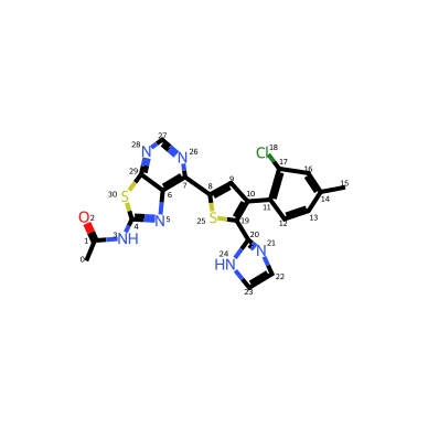 CC(=O)Nc1nc2c(-c3cc(-c4ccc(C)cc4Cl)c(-c4ncc[nH]4)s3)ncnc2s1